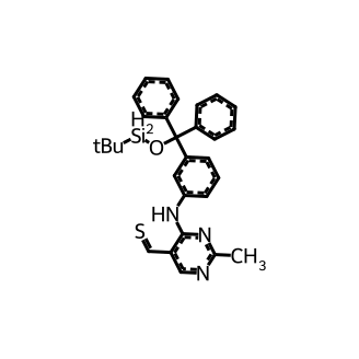 Cc1ncc(C=S)c(Nc2cccc(C(O[SiH2]C(C)(C)C)(c3ccccc3)c3ccccc3)c2)n1